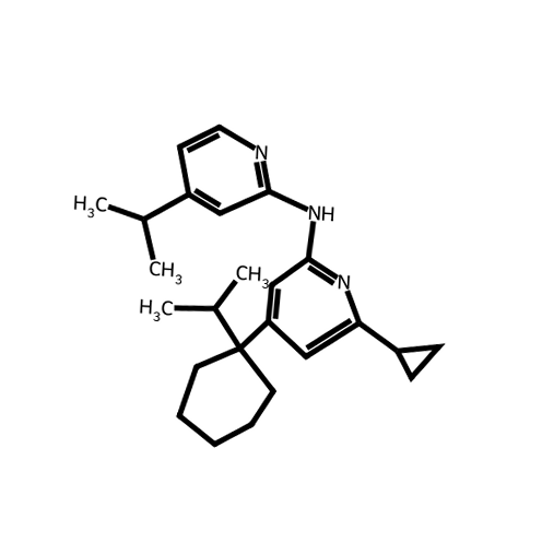 CC(C)c1ccnc(Nc2cc(C3(C(C)C)CCCCC3)cc(C3CC3)n2)c1